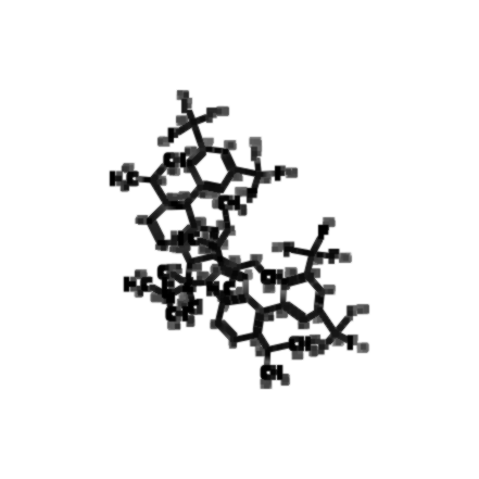 CCC(C)C1=Cc2c(ccc(C(C)C)c2-c2cc(C(F)(F)F)cc(C(F)(F)F)c2)[CH]1[Zr]([Cl])([Cl])([CH]1C(C(C)CC)=Cc2c1ccc(C(C)C)c2-c1cc(C(F)(F)F)cc(C(F)(F)F)c1)[SiH](C)C